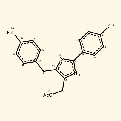 CC(=O)OCc1nc(-c2ccc(Cl)cc2)sc1Cc1ccc(C(F)(F)F)cc1